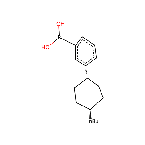 CCCC[C@H]1CC[C@H](c2cccc(B(O)O)c2)CC1